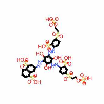 O=S(=O)(O)OCCS(=O)(=O)c1ccc(/N=N/c2c(O)c(/N=N/c3cc(S(=O)(=O)O)c4cccc(S(=O)(=O)O)c4c3)c(O)c(/N=N/c3ccc(S(=O)(=O)CCOS(=O)(=O)O)cc3S(=O)(=O)O)c2O)c(S(=O)(=O)O)c1